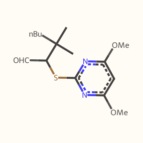 CCCCC(C)(C)C(C=O)Sc1nc(OC)cc(OC)n1